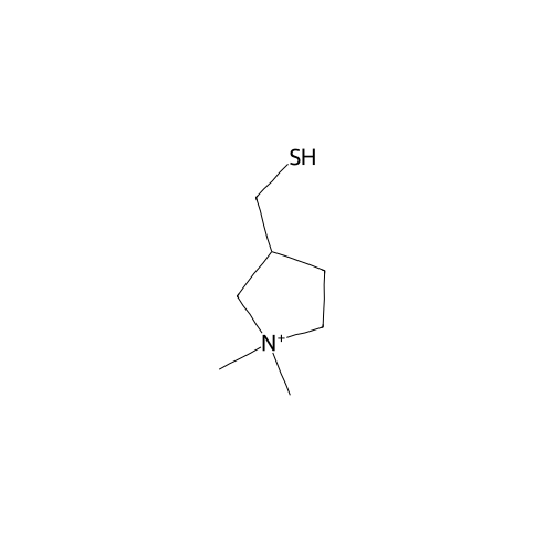 C[N+]1(C)CCC(CS)C1